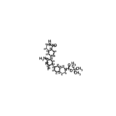 CC(C)(C)OC(=O)N1CCc2ccc(-c3cc(-c4ccc5c(c4)CCNC5=O)c(N)nc3F)cc2C1